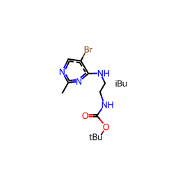 CC[C@H](C)C(CNC(=O)OC(C)(C)C)Nc1nc(C)ncc1Br